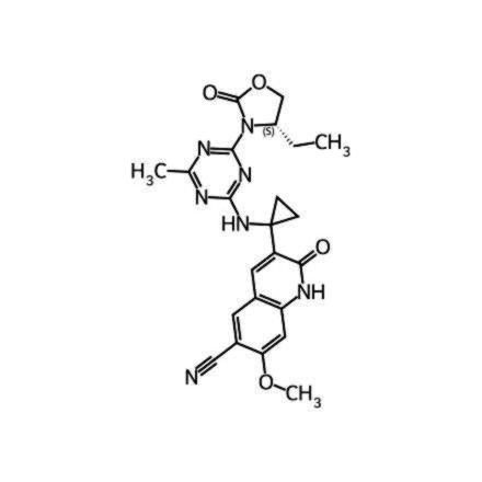 CC[C@H]1COC(=O)N1c1nc(C)nc(NC2(c3cc4cc(C#N)c(OC)cc4[nH]c3=O)CC2)n1